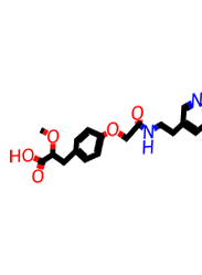 COC(Cc1ccc(OCC(=O)NCCc2cccnc2)cc1)C(=O)O